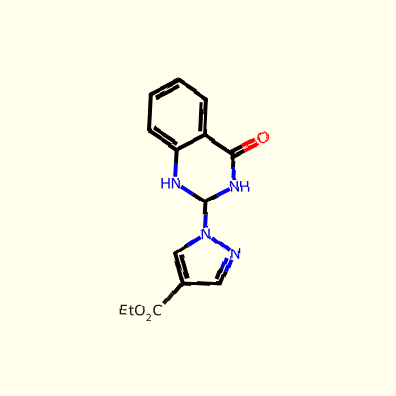 CCOC(=O)c1cnn(C2NC(=O)c3ccccc3N2)c1